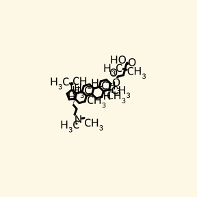 C=C(C)[C@@H]1CC[C@]2(CCCN(C)CC)CC[C@]3(C)[C@H](CC[C@@H]4[C@@]5(C)CC[C@H](OC(=O)CC(C)(C)C(=O)O)C(C)(C)[C@@H]5CC[C@]43C)[C@@H]12